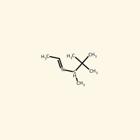 C/C=N/[SH](C)C(C)(C)C